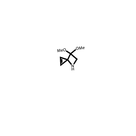 COC1(OC)CNC12C=C2